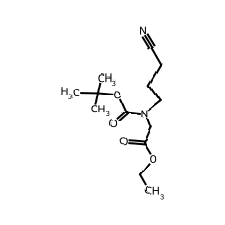 CCOC(=O)CN(CCCC#N)C(=O)OC(C)(C)C